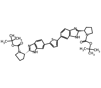 CC(C)(C)OC(=O)N1CCC[C@@H]1c1nc2ccc(-c3ccc(-c4ccc5nc([C@@H]6CCCN6C(=O)OC(C)(C)C)[nH]c5c4)s3)cc2[nH]1